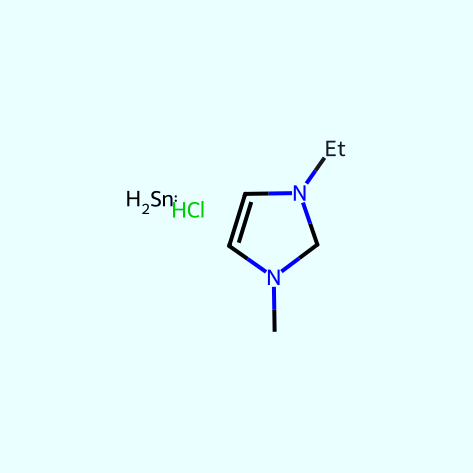 CCN1C=CN(C)C1.Cl.[SnH2]